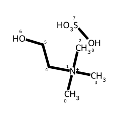 C[N+](C)(C)CCO.O=S(=O)(O)O